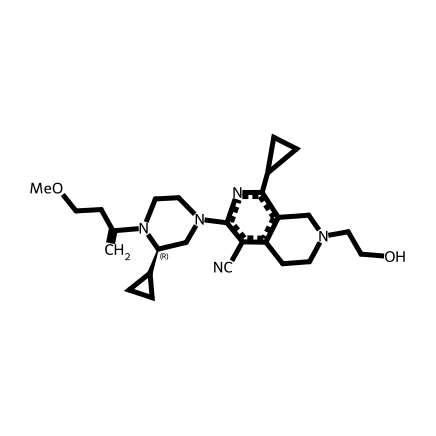 C=C(CCOC)N1CCN(c2nc(C3CC3)c3c(c2C#N)CCN(CCO)C3)C[C@H]1C1CC1